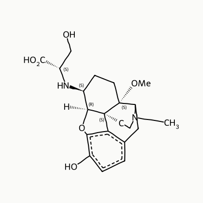 CO[C@@]12CC[C@H](N[C@@H](CO)C(=O)O)[C@@H]3Oc4c(O)ccc5c4[C@@]31CCN(C)C2C5